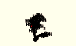 C[C@H](CCCNC(=N)N)C(=O)N[C@H](CCCNC(=N)N)C(=O)N[C@H](CCCNC(=N)N)C(=O)N[C@H](CCCNC(=N)N)C(=O)N[C@H](CSC1CC(=O)N(CCNC(=O)CCCCCN2/C(=C/C=C/C=C/C3=Nc4ccc(S(=O)(=O)O)cc4C3(C)C)C(C)(C)c3ccccc32)C1=O)C(N)=O